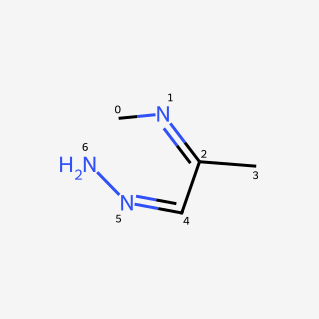 C/N=C(C)\C=N/N